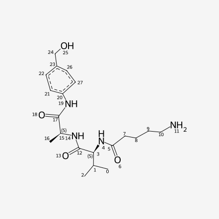 CC(C)[C@H](NC(=O)CCCCN)C(=O)N[C@@H](C)C(=O)Nc1ccc(CO)cc1